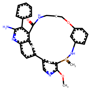 C=S1Nc2cccc(c2)OCCCNC(=O)c2c(-c3ccccc3)c(N)nc3ccc(cc23)-c2cnc(OC)c1c2